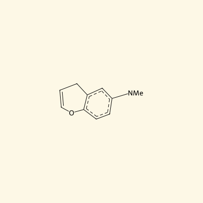 CNc1ccc2c(c1)CC=CO2